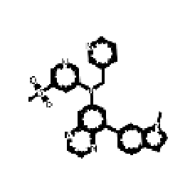 Cn1ccc2ccc(-c3cc(N(Cc4cccnc4)c4cncc(S(C)(=O)=O)c4)cc4nccnc34)cc21